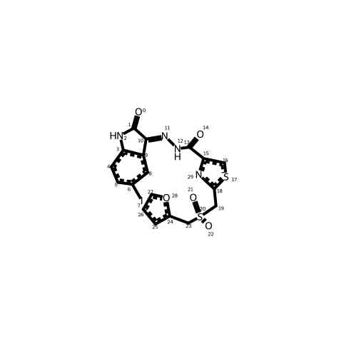 O=C1Nc2ccc(I)cc2/C1=N\NC(=O)c1csc(CS(=O)(=O)Cc2ccco2)n1